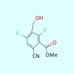 COC(=O)c1c(C#N)cc(F)c(CO)c1F